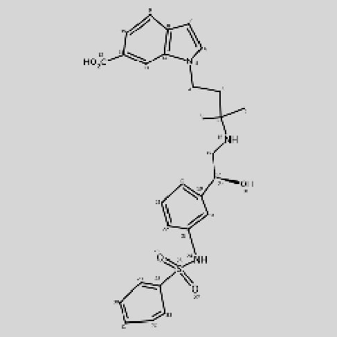 CC(C)(CCn1ccc2ccc(C(=O)O)cc21)NC[C@@H](O)c1cccc(NS(=O)(=O)c2ccccc2)c1